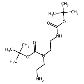 CC(C)(C)OC(=O)NCCN(CCN)C(=O)OC(C)(C)C